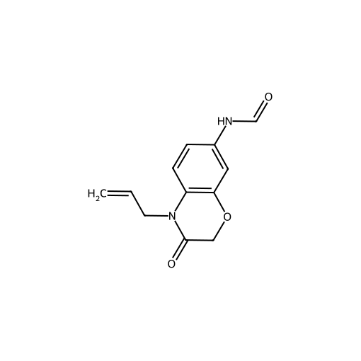 C=CCN1C(=O)COc2cc(NC=O)ccc21